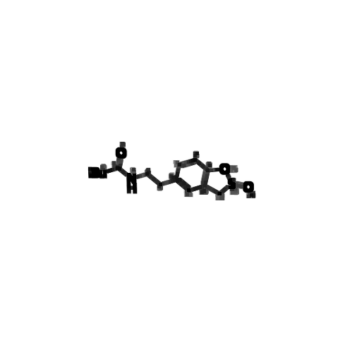 CCC(C)C(=O)NCCc1ccc2c(c1)CS(=O)O2